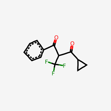 O=C(c1ccccc1)C(C(=O)C1CC1)C(F)(F)F